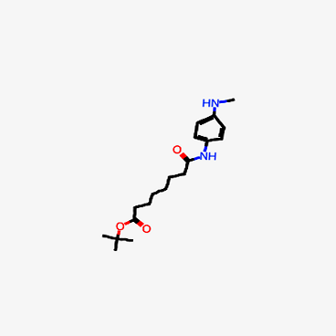 CNc1ccc(NC(=O)CCCCCCC(=O)OC(C)(C)C)cc1